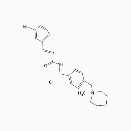 C[N+]1(Cc2ccc(CNC(=O)C=Cc3cccc(Br)c3)cc2)CCCCC1.[Cl-]